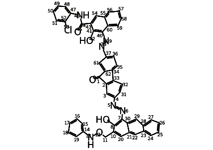 O=C1c2cc(N=Nc3c(O)c(CONc4ccccc4)cc4cc5ccccc5cc34)ccc2-c2ccc(N=Nc3c(O)c(C(=O)Nc4ccccc4Cl)cc4ccccc34)cc21